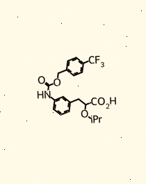 CC(C)OC(Cc1cccc(NC(=O)OCc2ccc(C(F)(F)F)cc2)c1)C(=O)O